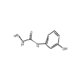 CCCNC(=O)Nc1cccc(O)c1